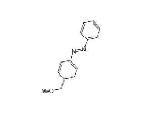 COCc1ccc(N=Nc2ccccc2)cc1